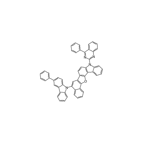 c1ccc(-c2ccc3c(c2)c2ccccc2n3-c2cc3c4ccc5c(c6ccccc6n5-c5nc(-c6ccccc6)c6ccccc6n5)c4oc3c3ccccc23)cc1